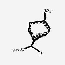 O=C(O)C(S)c1ccc([N+](=O)[O-])cc1